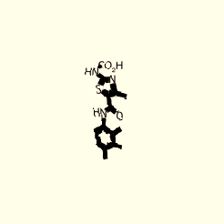 Cc1ccc(NC(=O)c2sc(NC(=O)O)nc2C)c(C)c1C